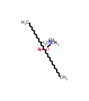 CCCCCCCCCCCCCCC(OCC[N+](C)(C)C)C(CCCCCCCCCCCCCC)P=O